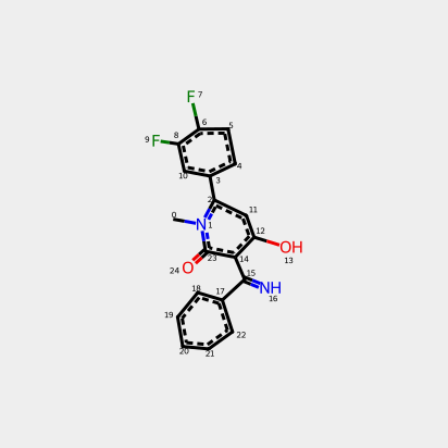 Cn1c(-c2ccc(F)c(F)c2)cc(O)c(C(=N)c2ccccc2)c1=O